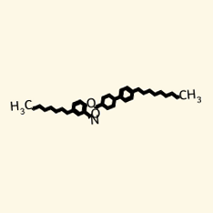 CCCCCCCCCc1ccc(C2CCC(C(=O)Oc3ccc(CCCCCCCC)cc3C#N)CC2)cc1